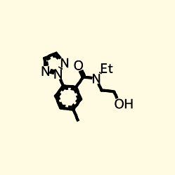 CCN(CCO)C(=O)c1cc(C)ccc1-n1nccn1